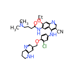 CCOc1cc2ncc(C#N)c(Nc3ccc(OCc4cnc5c(c4)NCCC5)c(Cl)c3)c2cc1NC(=O)CCCN(C)C